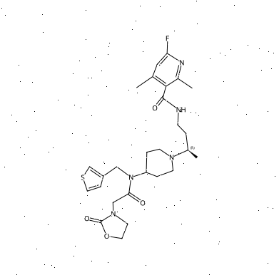 Cc1cc(F)nc(C)c1C(=O)NCC[C@@H](C)N1CCC(N(Cc2ccsc2)C(=O)CN2CCOC2=O)CC1